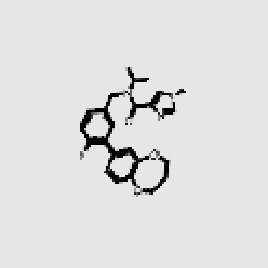 CC(C)N(Cc1ccc(F)c(-c2ccc3c(c2)OCCCO3)c1)C(=O)c1cn(C)cn1